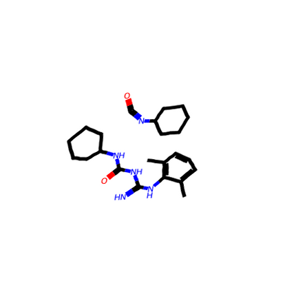 Cc1cccc(C)c1NC(=N)NC(=O)NC1CCCCC1.O=C=NC1CCCCC1